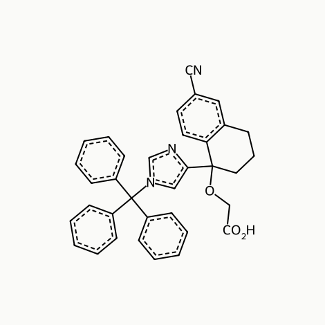 N#Cc1ccc2c(c1)CCCC2(OCC(=O)O)c1cn(C(c2ccccc2)(c2ccccc2)c2ccccc2)cn1